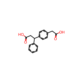 O=C(O)Cc1ccc(C(CC(=O)O)c2ccccc2)cc1